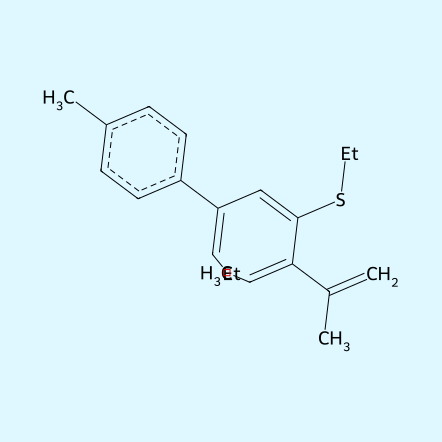 C=C(C)C(=C/C)/C(=C\C(=C/CC)c1ccc(C)cc1)SCC